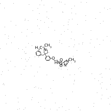 CC(C)N1CCC(Cc2ccccc2)(c2cccc(OCCNS(=O)(=O)c3cn(C)cn3)c2)C1